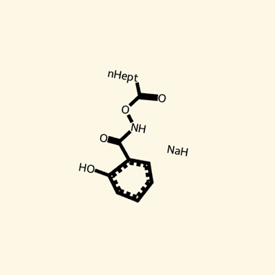 CCCCCCCC(=O)ONC(=O)c1ccccc1O.[NaH]